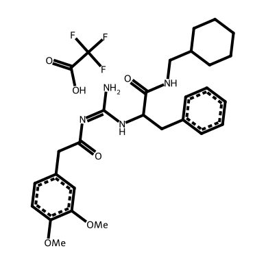 COc1ccc(CC(=O)N=C(N)NC(Cc2ccccc2)C(=O)NCC2CCCCC2)cc1OC.O=C(O)C(F)(F)F